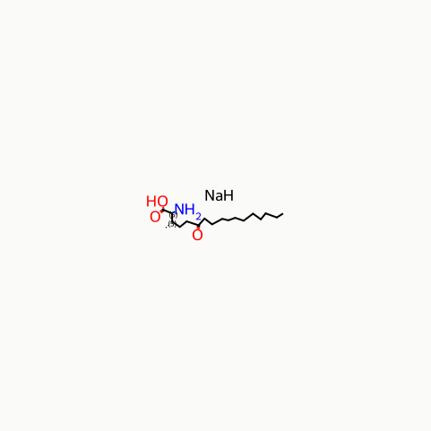 CCCCCCCCCCCC(=O)CC[C@H](C)[C@H](N)C(=O)O.[NaH]